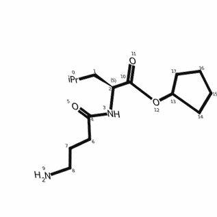 CC(C)C[C@H](NC(=O)CCCN)C(=O)OC1CCCC1